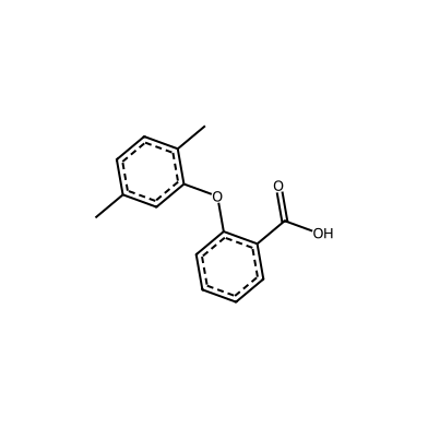 Cc1ccc(C)c(Oc2ccccc2C(=O)O)c1